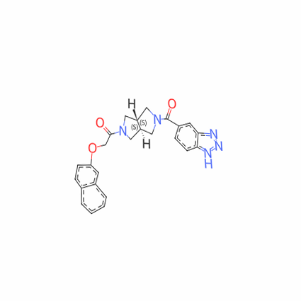 O=C(COc1ccc2ccccc2c1)N1C[C@@H]2CN(C(=O)c3ccc4[nH]nnc4c3)C[C@H]2C1